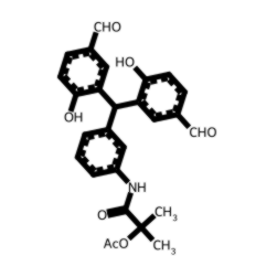 CC(=O)OC(C)(C)C(=O)Nc1cccc(C(c2cc(C=O)ccc2O)c2cc(C=O)ccc2O)c1